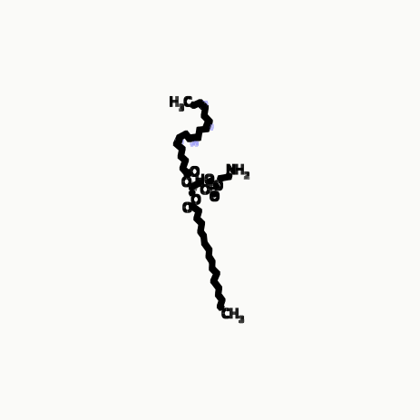 CC/C=C\C/C=C\C/C=C\C/C=C\CCCCC(=O)O[C@H](COC(=O)CCCCCCCCCCCCCCCCC)COP(=O)(O)OCCN